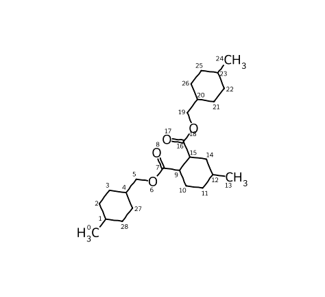 CC1CCC(COC(=O)C2CCC(C)CC2C(=O)OCC2CCC(C)CC2)CC1